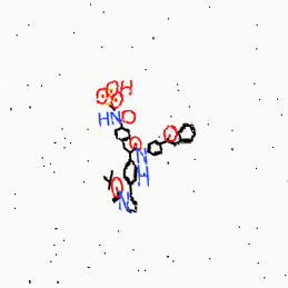 C=C(OC(C)(C)C)n1cccc1-c1ccc(C(Cc2ccc(C(=O)NCCS(=O)(=O)O)cc2)C(=O)Nc2ccc(-c3cc4ccccc4o3)cc2)cc1